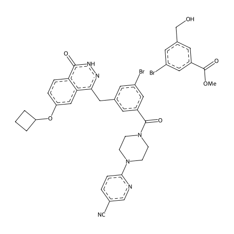 COC(=O)c1cc(Br)cc(CO)c1.N#Cc1ccc(N2CCN(C(=O)c3cc(Br)cc(Cc4n[nH]c(=O)c5ccc(OC6CCC6)cc45)c3)CC2)nc1